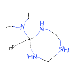 CCCC1(N(C)C)NCNCN1